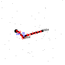 COCCOCCOCCOCCOCCOCCOCCC(=O)N[C@@H](CCCCNC(=O)OCc1ccccc1)C(=O)OC